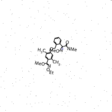 CCON=C(OC)c1cc(C)c(OCc2ccccc2/C(=N\OC)C(=O)NC)cc1C